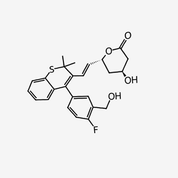 CC1(C)Sc2ccccc2C(c2ccc(F)c(CO)c2)=C1C=C[C@H]1C[C@H](O)CC(=O)O1